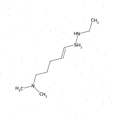 CCN[SiH2]C=CCCCN(C)C